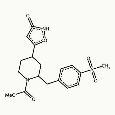 COC(=O)N1CCC(c2cc(=O)[nH]o2)CC1Cc1ccc(S(C)(=O)=O)cc1